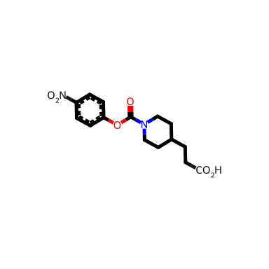 O=C(O)CCC1CCN(C(=O)Oc2ccc([N+](=O)[O-])cc2)CC1